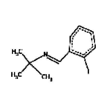 CC(C)(C)/N=C/c1ccccc1I